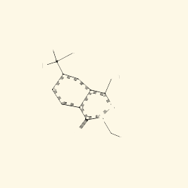 CCOC(=O)Cn1nc(C(C)C)c2cc(C(C)(F)F)ccc2c1=O